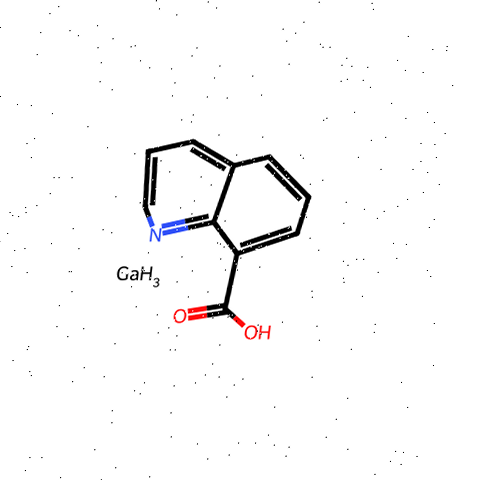 O=C(O)c1cccc2cccnc12.[GaH3]